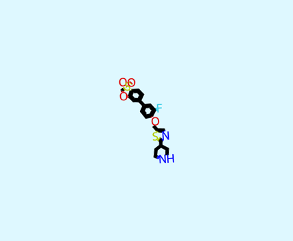 O=S1(=O)COc2cc(-c3ccc(OCc4cnc(C5CCNCC5)s4)c(F)c3)ccc21